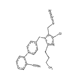 CCCCc1nc(Cl)c(CN=[N+]=[N-])n1Cc1ccc(-c2ccccc2C#N)cc1